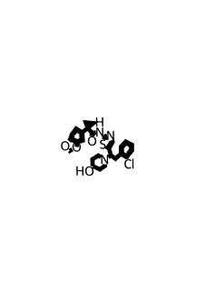 O=C(Nc1ncc(C(Cc2ccccc2Cl)N2CCC(O)CC2)s1)C1(c2ccc3c(c2)OCO3)CC1